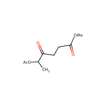 COC(=O)CCC(=O)C(C)OC(C)=O